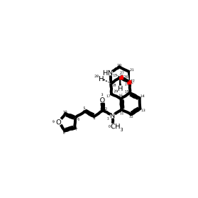 CN(C(=O)/C=C/c1ccoc1)c1cccc2c1C[C@H]1NCC[C@@]23CCCC[C@@H]13